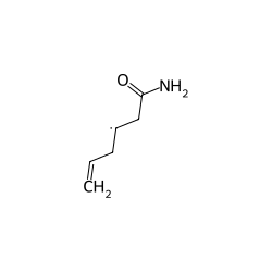 C=CC[CH]CC(N)=O